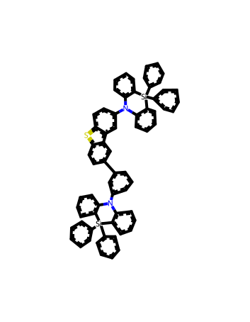 c1ccc([Si]2(c3ccccc3)c3ccccc3N(c3cccc(-c4ccc5sc6ccc(N7c8ccccc8[Si](c8ccccc8)(c8ccccc8)c8ccccc87)cc6c5c4)c3)c3ccccc32)cc1